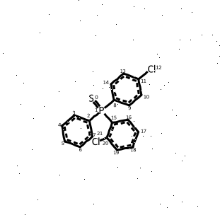 S=P(c1ccccc1)(c1ccc(Cl)cc1)c1ccccc1Cl